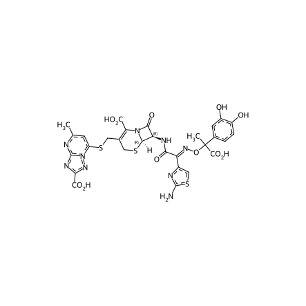 Cc1cc(SCC2=C(C(=O)O)N3C(=O)[C@@H](NC(=O)C(=NOC(C)(C(=O)O)c4ccc(O)c(O)c4)c4csc(N)n4)[C@H]3SC2)n2nc(C(=O)O)nc2n1